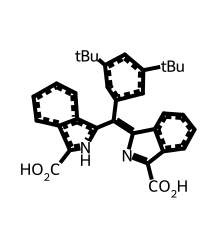 CC(C)(C)c1cc(/C(=C2/N=C(C(=O)O)c3ccccc32)c2[nH]c(C(=O)O)c3ccccc23)cc(C(C)(C)C)c1